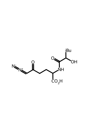 CCC(C)C(O)C(=O)NC(CCC(=O)C=[N+]=[N-])C(=O)O